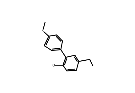 CCc1ccc([O])c(-c2ccc(SC)cc2)c1